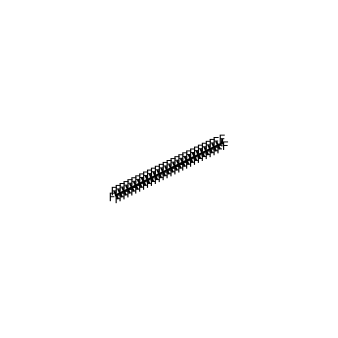 F[C](F)C(F)(F)C(F)(F)C(F)(F)C(F)(F)C(F)(F)C(F)(F)C(F)(F)C(F)(F)C(F)(F)C(F)(F)C(F)(F)C(F)(F)C(F)(F)C(F)(F)C(F)(F)C(F)(F)C(F)(F)C(F)(F)C(F)(F)C(F)(F)C(F)(F)C(F)(F)C(F)(F)C(F)(F)C(F)(F)C(F)(F)C(F)(F)F